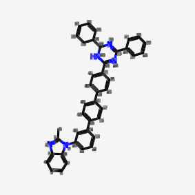 Cc1nc2ccccc2n1-c1cccc(-c2ccc(-c3ccc(C4=NC(c5ccccc5)=NC(C5C=CC=CC5)N4)cc3)cc2)c1